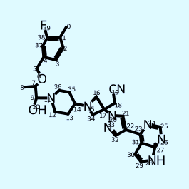 Cc1ccc(COC(C)C(O)N2CCC(N3CC(CC#N)(n4cc(-c5ncnc6[nH]ccc56)cn4)C3)CC2)cc1F